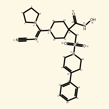 N#CN=C(N1CCCC1)N1CCC(CS(=O)(=O)N2CC=C(c3ccccc3)CC2)(C(=O)NO)CC1